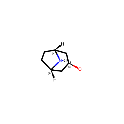 CN1[C@@H]2CC[C@H]1C[C@H]([O])C2